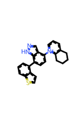 c1cc(-c2ccc(-[n+]3cccc4c3CCCC4)c3cn[nH]c23)c2ccsc2c1